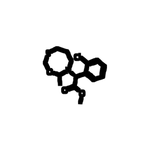 COC(=O)[C@H](c1ccccc1Cl)N1CCCSCOC1C